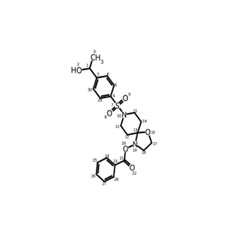 CC(O)c1ccc(S(=O)(=O)N2CCC3(CC2)OCCN3OC(=O)c2ccccc2)cc1